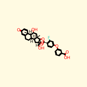 C[C@]12C=CC(=O)C=C1CC[C@@H]1[C@@H]2[C@@H](O)C[C@@]2(C)[C@H]1C[C@H]1O[C@H](c3ccc(Oc4cccc(C(=O)O)c4)cc3F)O[C@]12C(=O)CO